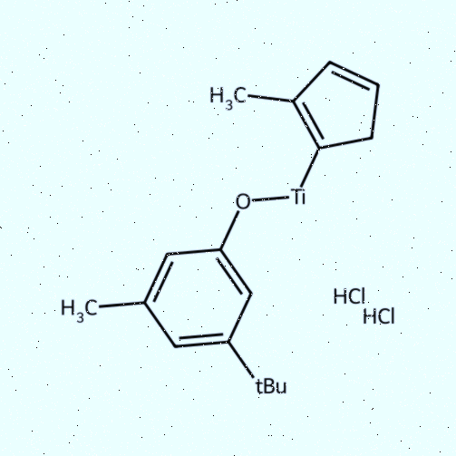 CC1=[C]([Ti][O]c2cc(C)cc(C(C)(C)C)c2)CC=C1.Cl.Cl